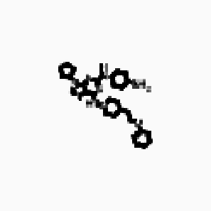 N[C@H]1CC[C@H](Nc2nc(NN3CCC(CCOc4ccccc4)CC3)c3ncn(C4CCCC4)c3n2)CC1